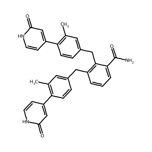 Cc1cc(Cc2cccc(C(N)=O)c2Cc2ccc(-c3cc[nH]c(=O)c3)c(C)c2)ccc1-c1cc[nH]c(=O)c1